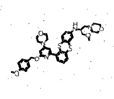 COC[C@H](CN1CCOCC1)Nc1ccc2c(c1)Sc1cccc(-c3cc(N4CCOCC4)cc(OCc4ccc(OC)cc4)n3)c1S2